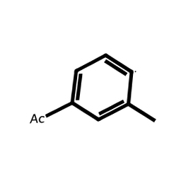 CC(=O)c1cc[c]c(C)c1